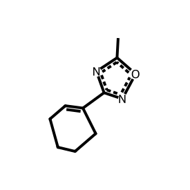 Cc1nc(C2=CCCCC2)no1